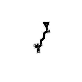 O=[SH](=O)OCCCNC1CC1